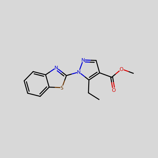 CCc1c(C(=O)OC)cnn1-c1nc2ccccc2s1